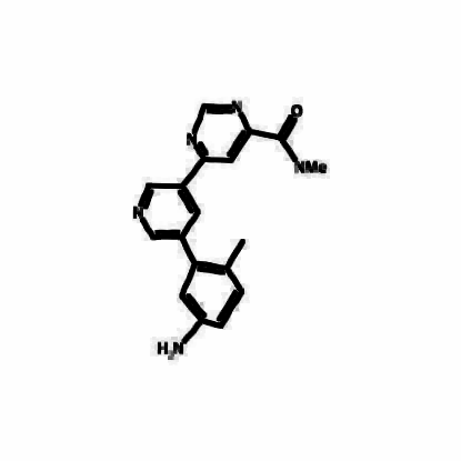 CNC(=O)c1cc(-c2cncc(-c3cc(N)ccc3C)c2)ncn1